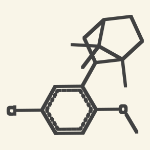 COc1ccc(Cl)cc1C1CC2CCC1(C)C2(C)C